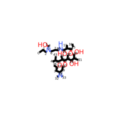 CCCN(CO)CCCNC(O)C(C)[C@H](CC)OC(O)C(C)C(O)C(C)C(OC1CC(N(C)C)CC(C)O1)C(C)CC(C)C